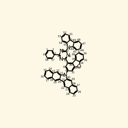 c1ccc(-c2nc(-c3cc(-n4c5cc6ccccc6cc5c5cc6ccccc6cc54)cc4oc5ccccc5c34)nc(-n3c4ccccc4c4ccccc43)n2)cc1